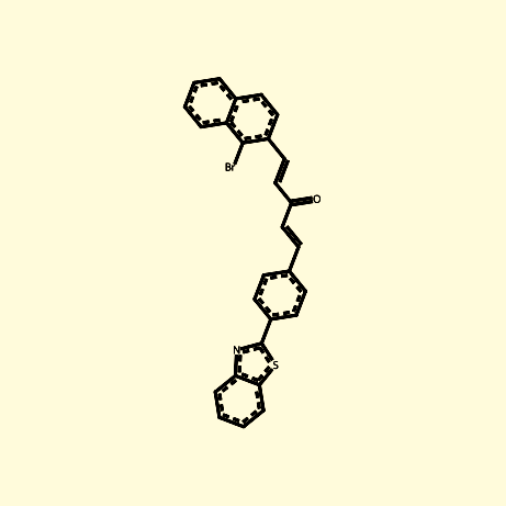 O=C(C=Cc1ccc(-c2nc3ccccc3s2)cc1)C=Cc1ccc2ccccc2c1Br